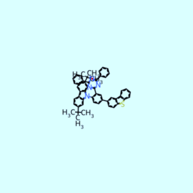 CC(C)(C)c1ccc2c3ccc(C(C)(C)C)cc3n(-c3ccc(-c4ccc5sc6ccccc6c5c4)cc3-c3nc(-c4ccccc4)nc(-c4ccccc4)n3)c2c1